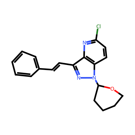 Clc1ccc2c(n1)c(C=Cc1ccccc1)nn2C1CCCCO1